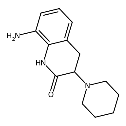 Nc1cccc2c1NC(=O)C(N1CCCCC1)C2